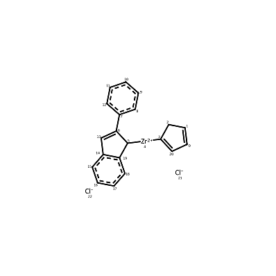 C1=CC[C]([Zr+2][CH]2C(c3ccccc3)=Cc3ccccc32)=C1.[Cl-].[Cl-]